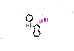 C1=C[CH]([Hf][c]2ccccc2)c2ccccc21.I.I.I